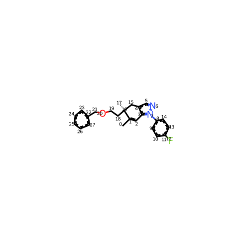 CC1=Cc2c(cnn2-c2ccc(F)cc2)C[C@]1(C)CCOCc1ccccc1